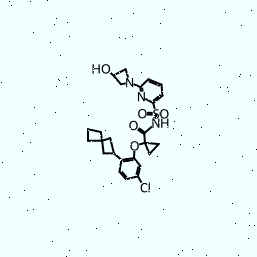 O=C(NS(=O)(=O)c1cccc(N2CC(O)C2)n1)C1(Oc2cc(Cl)ccc2C2CC3(CCC3)C2)CC1